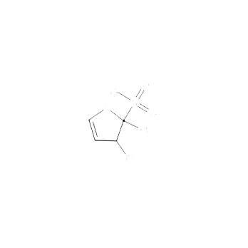 O=S(=O)(Cl)C1(Cl)SC=CC1Cl